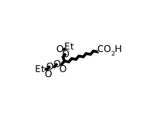 CCC(=O)OCOC(=O)C(CCCCCCCCCC(=O)O)COC(=O)CC